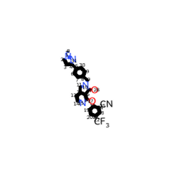 Cn1ccc(-c2ccc(CN3Cc4ccnc(Oc5ccc(C(F)(F)F)cc5C#N)c4C3=O)cc2)n1